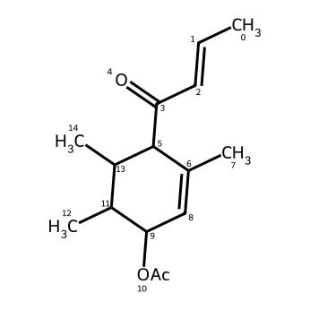 CC=CC(=O)C1C(C)=CC(OC(C)=O)C(C)C1C